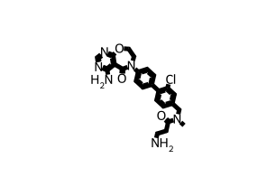 CN(Cc1ccc(-c2ccc(N3CCOc4ncnc(N)c4C3=O)cc2)c(Cl)c1)C(=O)CCN